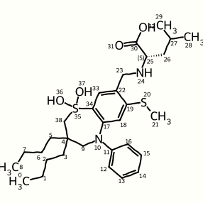 CCCCC1(CCCC)CN(c2ccccc2)c2cc(SC)c(CN[C@@H](CC(C)C)C(=O)O)cc2S(O)(O)C1